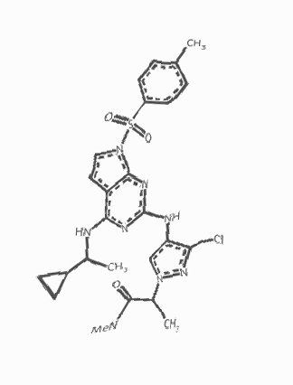 CNC(=O)C(C)n1cc(Nc2nc(NC(C)C3CC3)c3ccn(S(=O)(=O)c4ccc(C)cc4)c3n2)c(Cl)n1